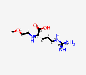 COCCN[C@@H](CCCNC(=N)N)C(=O)O